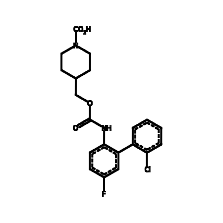 O=C(Nc1ccc(F)cc1-c1ccccc1Cl)OCC1CCN(C(=O)O)CC1